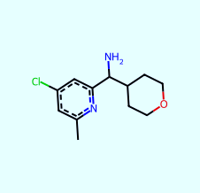 Cc1cc(Cl)cc(C(N)C2CCOCC2)n1